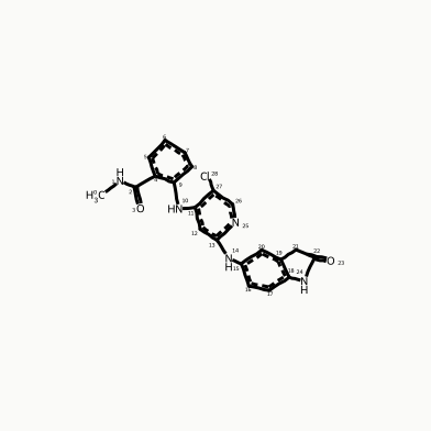 CNC(=O)c1ccccc1Nc1cc(Nc2ccc3c(c2)CC(=O)N3)ncc1Cl